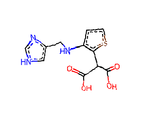 O=C(O)C(C(=O)O)c1sccc1NCc1c[nH]cn1